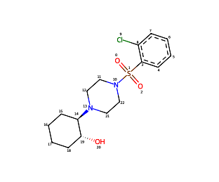 O=S(=O)(c1ccccc1Cl)N1CCN([C@@H]2CCCC[C@H]2O)CC1